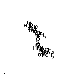 CC(=O)c1c(C)c2cnc(Nc3ccc(N4CCC(N(C)Cc5cc6c(cc5Br)C(=O)N(C5CCC(=O)NC5=O)C6=O)CC4)cn3)nc2n(C2CCCC2)c1=O